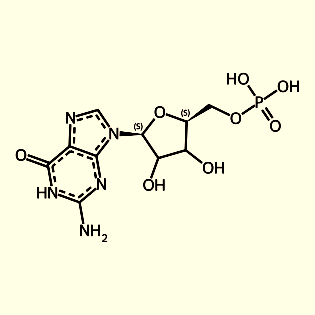 Nc1nc2c(ncn2[C@H]2O[C@@H](COP(=O)(O)O)C(O)C2O)c(=O)[nH]1